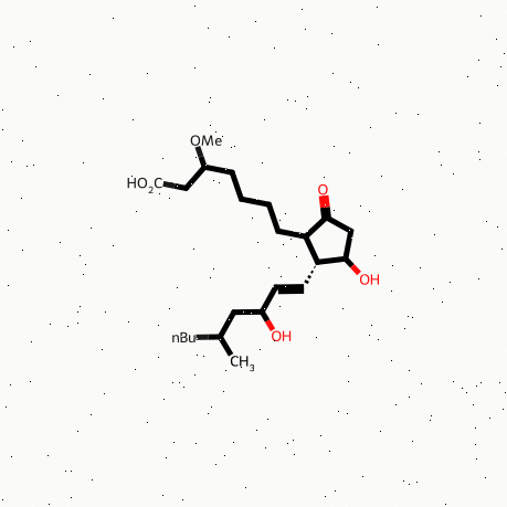 CCCCC(C)CC(O)C=C[C@H]1C(O)CC(=O)C1CCCCC(CC(=O)O)OC